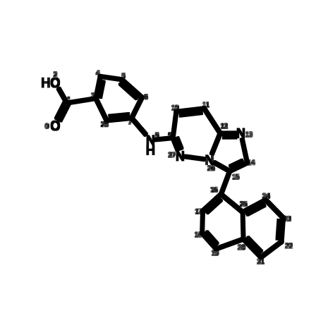 O=C(O)c1cccc(Nc2ccc3ncc(-c4cccc5ccccc45)n3n2)c1